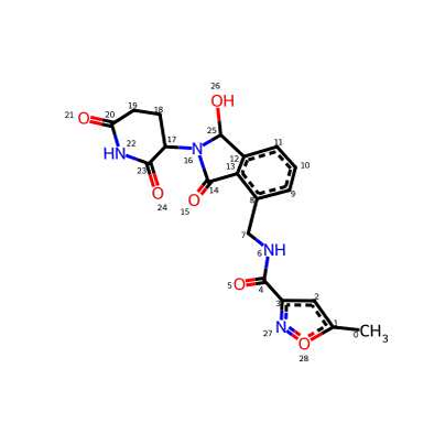 Cc1cc(C(=O)NCc2cccc3c2C(=O)N(C2CCC(=O)NC2=O)C3O)no1